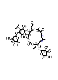 CC[C@@H]1OC(=O)C[C@H](O)[C@@H](C)[C@@H](O[C@@H]2O[C@H](C)[C@@H](O[C@H]3C[C@@](C)(O)[C@@H](O)[C@H](C)O3)[C@H](N(C)C)[C@H]2O)[C@@H](CC=O)C[C@@H](C)C(=O)/C=C/C(C)=C/[C@@H]1CO[C@H]1O[C@@H](C)[C@H](O)[C@H](OC)[C@@H]1OC